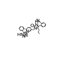 CCCc1c(-c2ccccc2C#N)[nH]c(=O)n1Cc1ccc(-c2ccccc2-c2nnn[nH]2)nc1